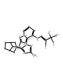 Cc1noc(N2CC3CCC(C2)C3Nc2nc3c(O/C=C(\F)C(F)(F)F)cccn3n2)n1